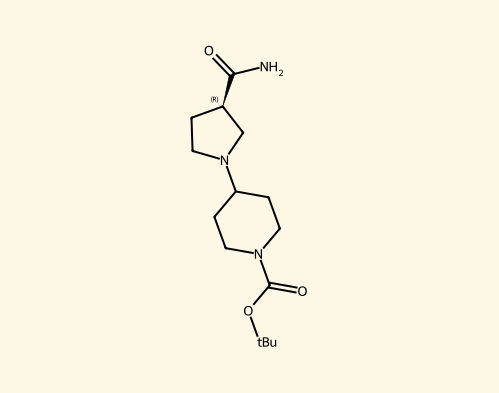 CC(C)(C)OC(=O)N1CCC(N2CC[C@@H](C(N)=O)C2)CC1